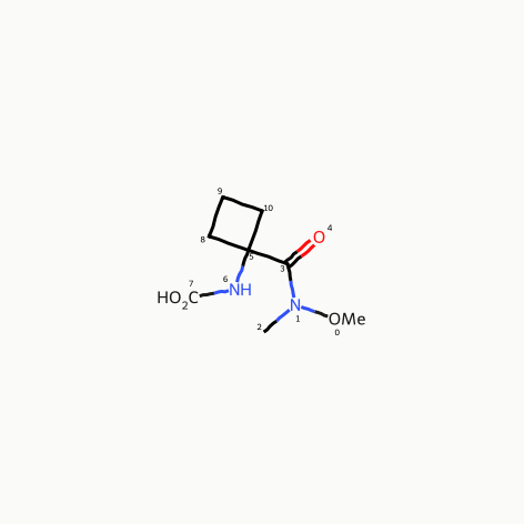 CON(C)C(=O)C1(NC(=O)O)CCC1